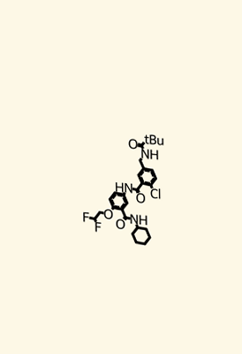 CC(C)(C)C(=O)NCc1ccc(Cl)c(C(=O)Nc2ccc(OCC(F)F)c(C(=O)NC3CCCCC3)c2)c1